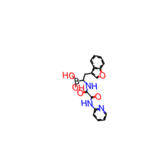 O=C(Nc1ccccn1)C(=O)NC(Cc1coc2ccccc12)B(O)O